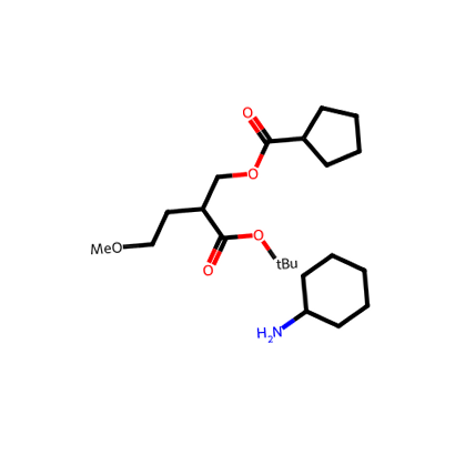 COCCC(COC(=O)C1CCCC1)C(=O)OC(C)(C)C.NC1CCCCC1